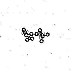 c1ccc(-c2cc(-c3ccccc3)nc(-n3c4ccccc4c4cc(-c5ccc6c(c5)C5(c7ccccc7-c7ccccc75)c5ccc7c(c5-6)Oc5ccccc5O7)ccc43)n2)cc1